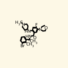 Cc1c(Br)cccc1[C@@H](C)NC(=O)c1cc(N2CCOCC2)c(F)cc1NC1CCN(C)CC1